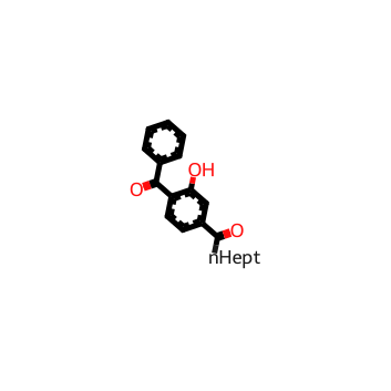 CCCCCCCC(=O)c1ccc(C(=O)c2ccccc2)c(O)c1